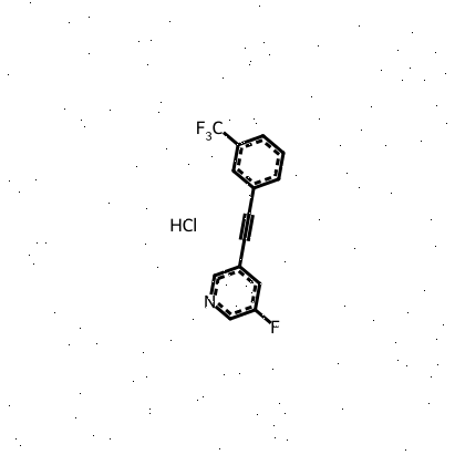 Cl.Fc1cncc(C#Cc2cccc(C(F)(F)F)c2)c1